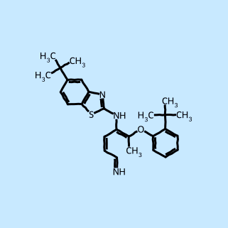 C/C(Oc1ccccc1C(C)(C)C)=C(\C=C/C=N)Nc1nc2cc(C(C)(C)C)ccc2s1